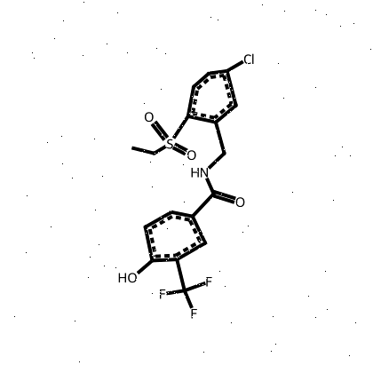 CCS(=O)(=O)c1ccc(Cl)cc1CNC(=O)c1ccc(O)c(C(F)(F)F)c1